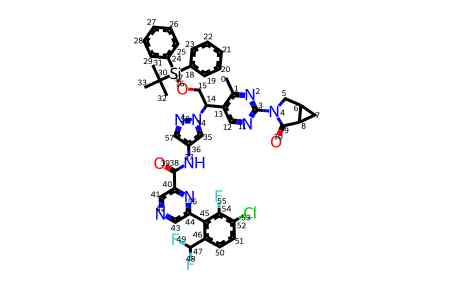 Cc1nc(N2CC3CC3C2=O)ncc1C(CO[Si](c1ccccc1)(c1ccccc1)C(C)(C)C)n1cc(NC(=O)c2cncc(-c3c(C(F)F)ccc(Cl)c3F)n2)cn1